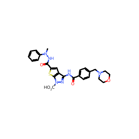 CN(NC(=O)c1cc2c(NC(=O)c3ccc(CN4CCOCC4)cc3)nn(C(=O)O)c2s1)c1ccccc1